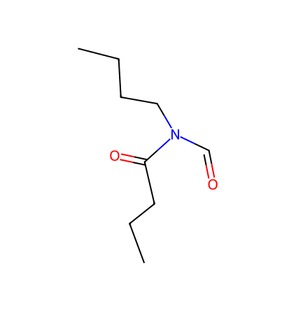 CCCCN(C=O)C(=O)CCC